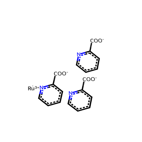 O=C([O-])c1ccccn1.O=C([O-])c1ccccn1.O=C([O-])c1ccccn1.[Ru+3]